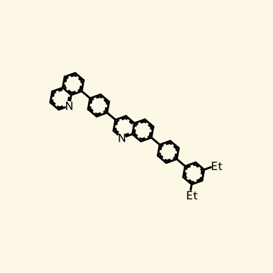 CCc1cc(CC)cc(-c2ccc(-c3ccc4cc(-c5ccc(-c6cccc7cccnc67)cc5)cnc4c3)cc2)c1